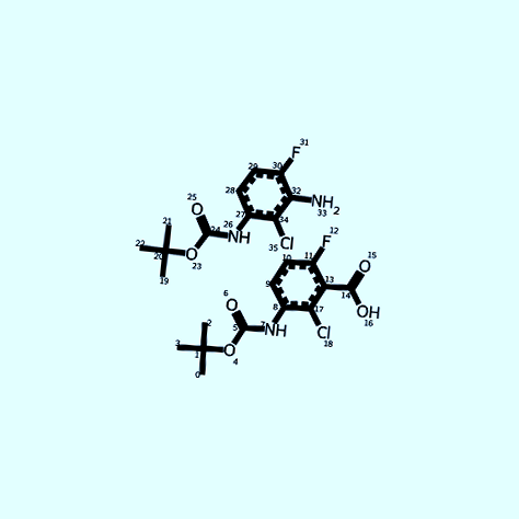 CC(C)(C)OC(=O)Nc1ccc(F)c(C(=O)O)c1Cl.CC(C)(C)OC(=O)Nc1ccc(F)c(N)c1Cl